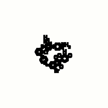 CC1(N)CCN(c2cnc(Sc3cccc(N4CCN(Cc5cc(Br)c6c(c5)C(=O)N(C5CCC(=O)NC5=O)C6=O)CC4)c3Cl)c(N)n2)CC1